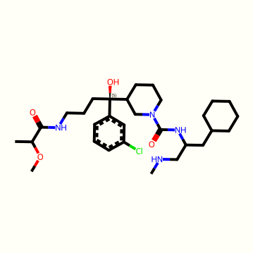 CNCC(CC1CCCCC1)NC(=O)N1CCCC([C@@](O)(CCCNC(=O)C(C)OC)c2cccc(Cl)c2)C1